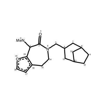 CNC1C(=O)N(CC2CC3CCC(C3)C2)CCc2ccoc21